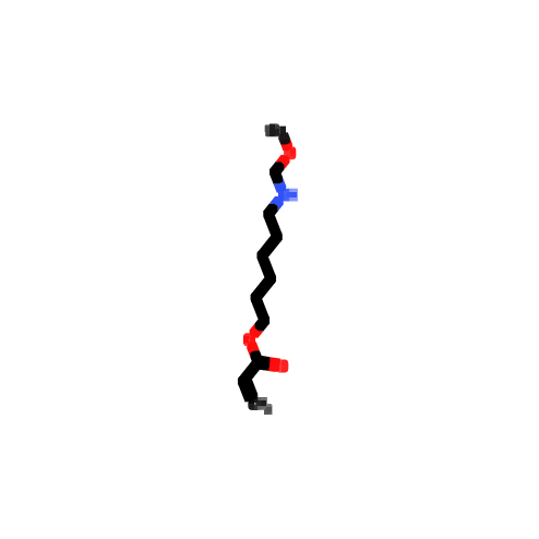 C=CC(=O)OCCCCCCNCOC(C)(C)C